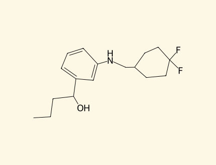 CCCC(O)c1cccc(NCC2CCC(F)(F)CC2)c1